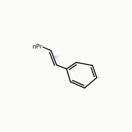 CCC/C=C/c1cc[c]cc1